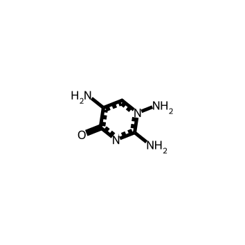 Nc1cn(N)c(N)nc1=O